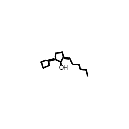 CCCCC/C=C1/CCC(=C2CCCC2)C1O